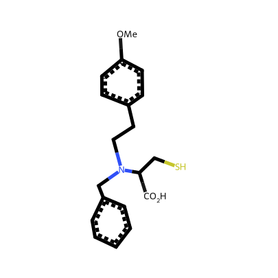 COc1ccc(CCN(Cc2ccccc2)C(CS)C(=O)O)cc1